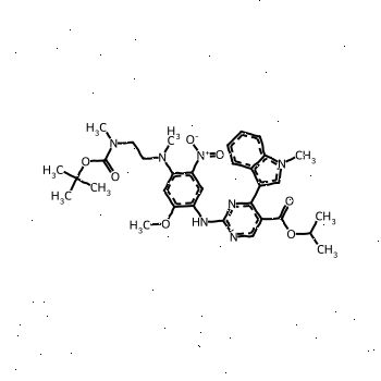 COc1cc(N(C)CCN(C)C(=O)OC(C)(C)C)c([N+](=O)[O-])cc1Nc1ncc(C(=O)OC(C)C)c(-c2cn(C)c3ccccc23)n1